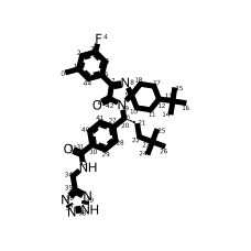 Cc1cc(F)cc(C2=NC3(CCC(C(C)(C)C)CC3)N([C@H](CCC(C)(C)C)c3ccc(C(=O)NCc4nn[nH]n4)cc3)C2=O)c1